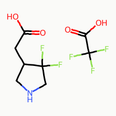 O=C(O)C(F)(F)F.O=C(O)CC1CNCC1(F)F